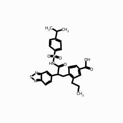 CCCc1cc(C(=O)O)ccc1CC(C(=O)NS(=O)(=O)c1ccc(C(C)C)cc1)c1ccc2nsnc2c1